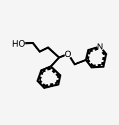 OCCCC(OCc1cccnc1)c1ccccc1